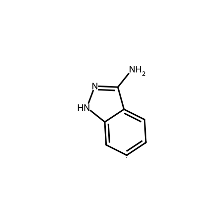 Nc1n[nH]c2c[c]ccc12